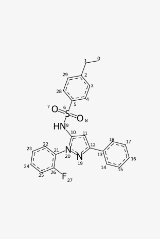 CCc1ccc(S(=O)(=O)Nc2cc(-c3ccccc3)nn2-c2ccccc2F)cc1